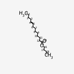 CCCCC=CCCCCCCCC(=O)OCCCC